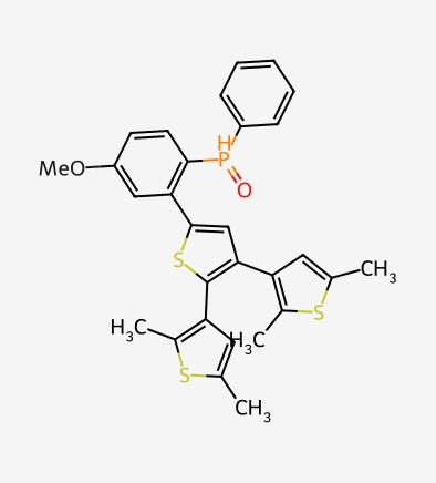 COc1ccc([PH](=O)c2ccccc2)c(-c2cc(-c3cc(C)sc3C)c(-c3cc(C)sc3C)s2)c1